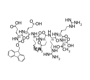 CSCC[C@H](NC(=O)[C@H](CCC(=O)O)NC(=O)[C@H](CCC(=O)O)NC(=O)OCC1c2ccccc2-c2ccccc21)C(=O)N[C@@H](CCC(N)=O)C(=O)N[C@@H](CCCNC(=N)N)C(=O)N[C@@H](CCCNC(=N)N)C(=O)N[C@H](C(=O)O)[C@@H](C)O